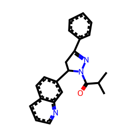 CC(C)C(=O)N1N=C(c2ccccc2)CC1c1ccc2cccnc2c1